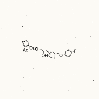 CC(=O)c1ccccc1OCOCC(O)CN1CCCC(COc2ccc(F)cc2)C1